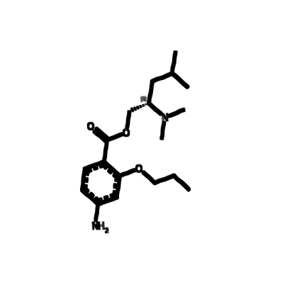 CCCOc1cc(N)ccc1C(=O)OC[C@H](CC(C)C)N(C)C